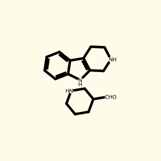 O=CC1CCCNC1.c1ccc2c3c([nH]c2c1)CNCC3